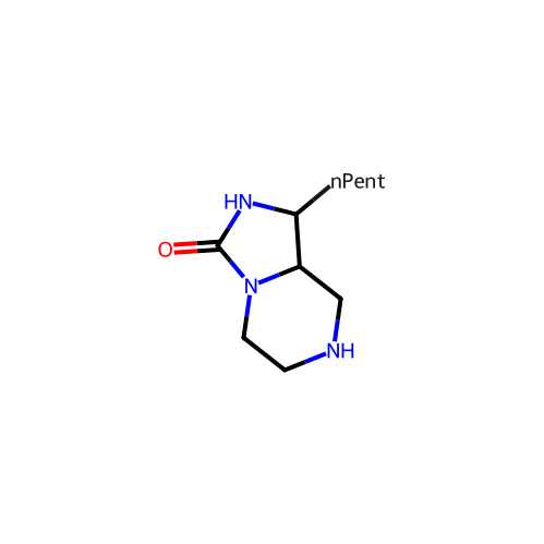 CCCCCC1NC(=O)N2CCNCC12